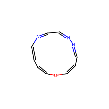 c1ccocccnnccnc1